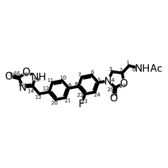 CC(=O)NCC1CN(c2ccc(-c3ccc(Cc4nc(=O)o[nH]4)cc3)c(F)c2)C(=O)O1